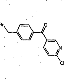 O=C(c1ccc(CBr)cc1)c1ccc(Cl)nc1